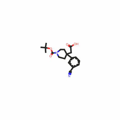 CC(C)(C)OC(=O)N1CCC(CC(=O)O)(c2cccc(C#N)c2)CC1